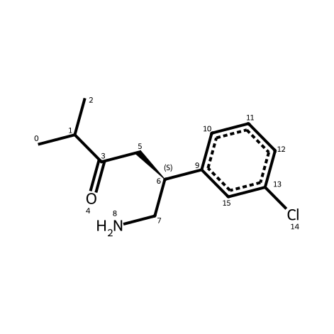 CC(C)C(=O)C[C@H](CN)c1cccc(Cl)c1